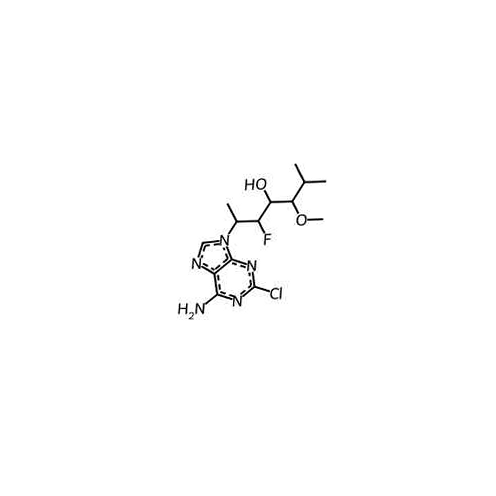 COC(C(C)C)C(O)C(F)C(C)n1cnc2c(N)nc(Cl)nc21